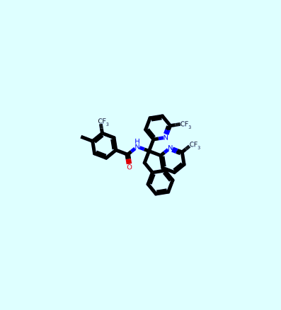 Cc1ccc(C(=O)NC(Cc2ccccc2)(c2cccc(C(F)(F)F)n2)c2cccc(C(F)(F)F)n2)cc1C(F)(F)F